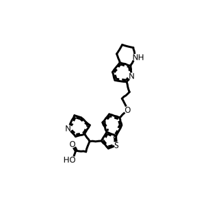 O=C(O)CC(c1cccnc1)c1csc2cc(OCCc3ccc4c(n3)NCCC4)ccc12